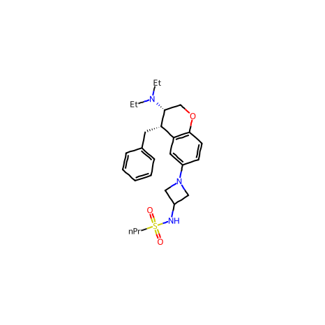 CCCS(=O)(=O)NC1CN(c2ccc3c(c2)[C@H](Cc2ccccc2)[C@H](N(CC)CC)CO3)C1